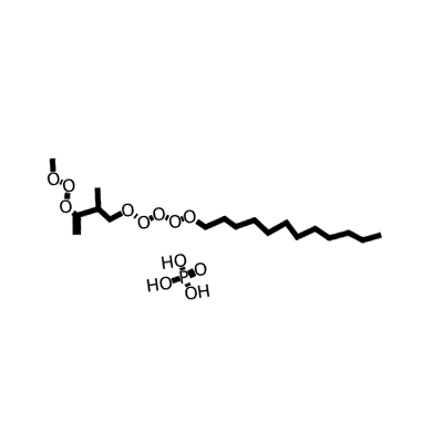 C=C(OOOC)C(C)COOOOOCCCCCCCCCCCC.O=P(O)(O)O